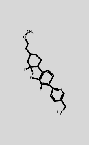 CCc1ccc(-c2ccc(C3CCC(CCOC)CC3(F)F)c(F)c2F)nc1